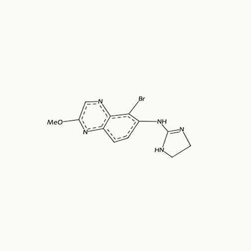 COc1cnc2c(Br)c(NC3=NCCN3)ccc2n1